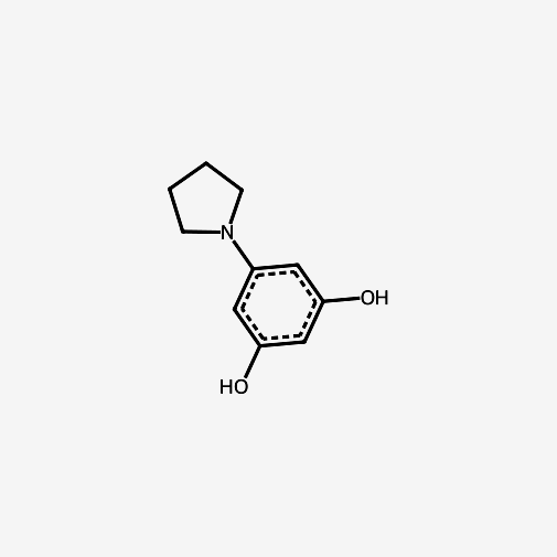 Oc1cc(O)cc(N2CCCC2)c1